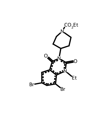 CCOC(=O)N1CCC(n2c(=O)c3cc(Br)cc(Br)c3n(CC)c2=O)CC1